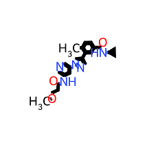 COCCC(=O)Nc1cncc(-n2cc(-c3cc(C(=O)NC4CC4)ccc3C)cn2)c1